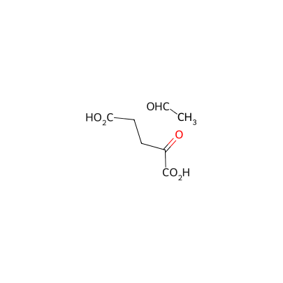 CC=O.O=C(O)CCC(=O)C(=O)O